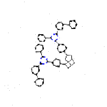 c1ccc(-c2cccc(-c3nc(-c4ccccc4)nc(-c4ccc(C5CC6CC7CC(c8ccc(-c9nc(-c%10ccccc%10)nc(-c%10cccc(-c%11ccccc%11)c%10)n9)cc8)C67C5)cc4)n3)c2)cc1